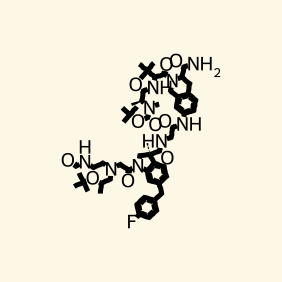 CC(CN(CCNC=O)CC(=O)N1C[C@@](C)(C(=O)NCC(=O)Nc2ccc3c(c2)CN(C(=O)C(NC(=O)[C@H](C)N(C)C(=O)OC(C)(C)C)C(C)(C)C)C(C(N)=O)C3)c2ccc(Cc3ccc(F)cc3)cc21)OC(C)(C)C